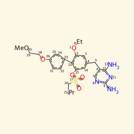 CCOc1cc(Cc2cnc(N)nc2N)cc(OS(=O)(=O)CC(C)C)c1-c1ccc(OCCOC)cc1